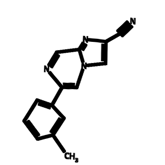 Cc1cccc(-c2cn3cc(C#N)nc3cn2)c1